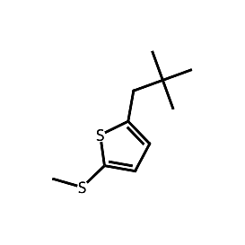 CSc1ccc(CC(C)(C)C)s1